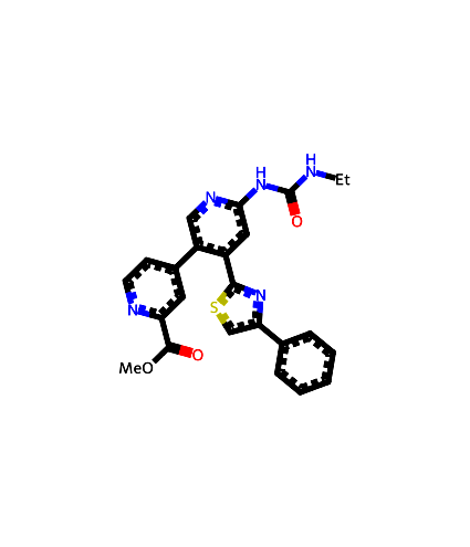 CCNC(=O)Nc1cc(-c2nc(-c3ccccc3)cs2)c(-c2ccnc(C(=O)OC)c2)cn1